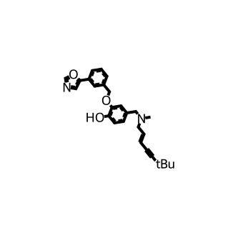 CN(C/C=C/C#CC(C)(C)C)Cc1ccc(O)c(OCc2cccc(-c3cnco3)c2)c1